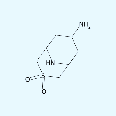 NC1CC2CS(=O)(=O)CC(C1)N2